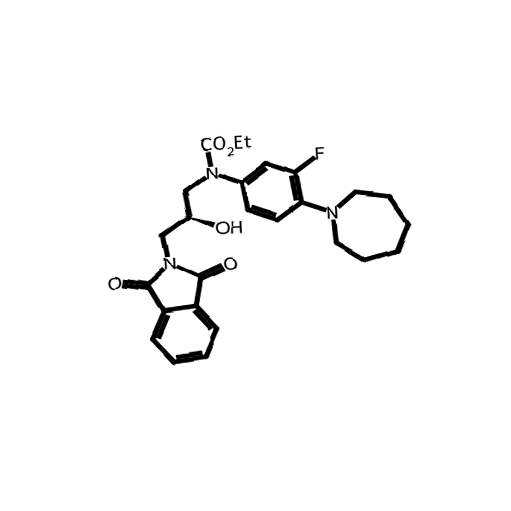 CCOC(=O)N(C[C@@H](O)CN1C(=O)c2ccccc2C1=O)c1ccc(N2CCCCCC2)c(F)c1